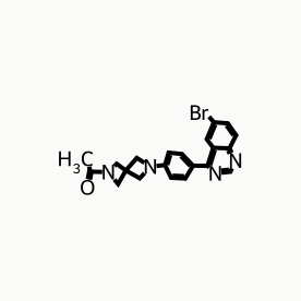 CC(=O)N1CC2(C1)CN(c1ccc(-c3ncnc4ccc(Br)cc34)cc1)C2